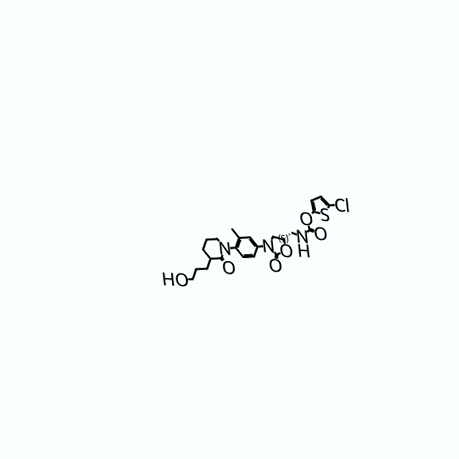 Cc1cc(N2C[C@H](CNC(=O)Oc3ccc(Cl)s3)OC2=O)ccc1N1CCCC(CCCO)C1=O